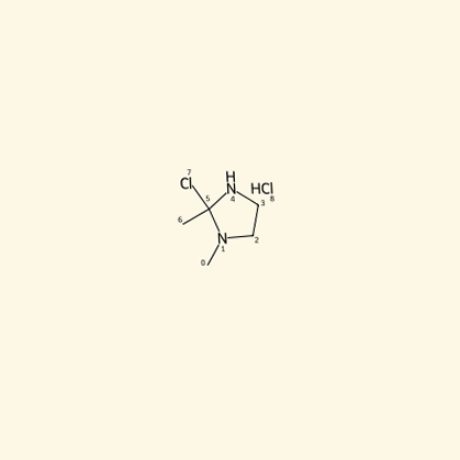 CN1CCNC1(C)Cl.Cl